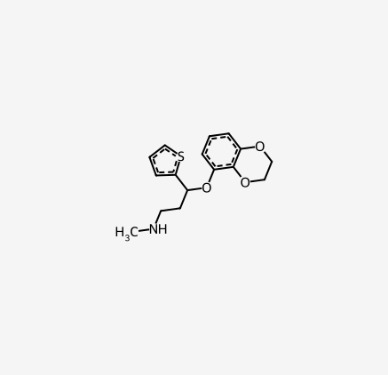 CNCCC(Oc1cccc2c1OCCO2)c1cccs1